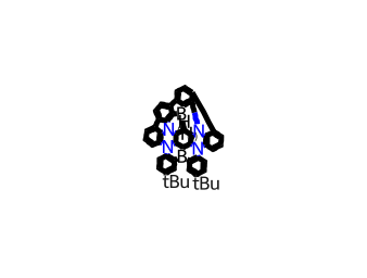 CC(C)(C)c1ccc2c(c1)B1c3cc(C(C)(C)C)ccc3N3c4cccc5c6ccc7c8c6n(c45)[C@@H]4C3C1C1C3[C@@H]4B8c4c-7ccc5c6cccc(c6n3c45)N21